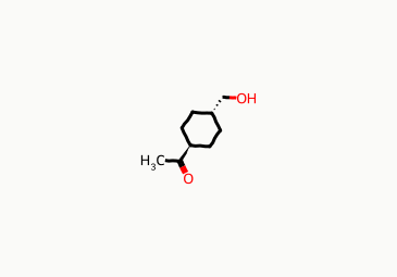 CC(=O)[C@H]1CC[C@H](CO)CC1